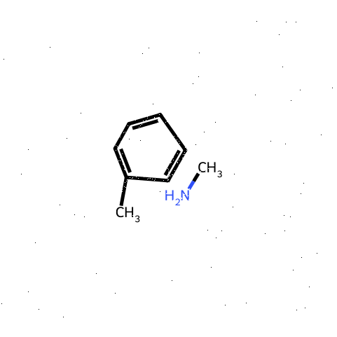 CN.Cc1ccccc1